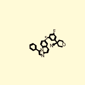 N#CC1(c2cc(F)cc(Sc3ccc4c(ccc5ncc(-c6ccccc6)n54)c3)c2)CCOCC1